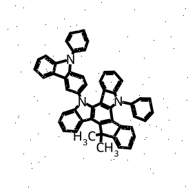 CC1(C)c2ccccc2-c2c1c1c3ccccc3n(-c3ccc4c(c3)c3ccccc3n4-c3ccccc3)c1c1c3ccccc3n(-c3ccccc3)c21